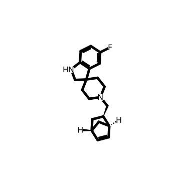 Fc1ccc2c(c1)C1(CCN(C[C@@H]3C[C@H]4C=C[C@H]3C4)CC1)CN2